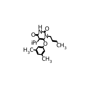 CC=CCn1c(Oc2cc(C)cc(C)c2)c(C(C)C)c(=O)[nH]c1=O